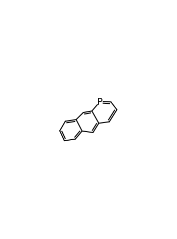 c1ccc2cc3pcccc3cc2c1